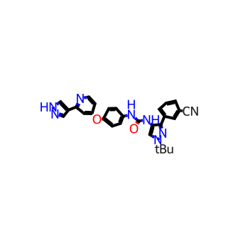 CC(C)(C)n1cc(NC(=O)Nc2ccc(Oc3ccnc(-c4cn[nH]c4)c3)cc2)c(-c2cccc(C#N)c2)n1